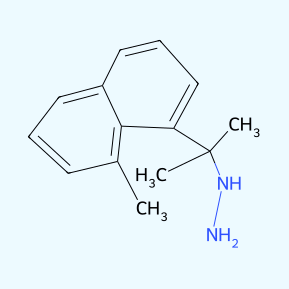 Cc1cccc2cccc(C(C)(C)NN)c12